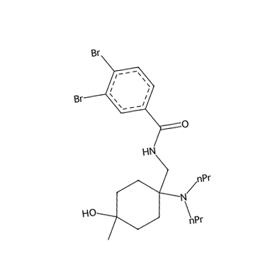 CCCN(CCC)C1(CNC(=O)c2ccc(Br)c(Br)c2)CCC(C)(O)CC1